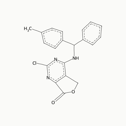 Cc1ccc(C(Nc2nc(Cl)nc3c2COC3=O)c2ccccc2)cc1